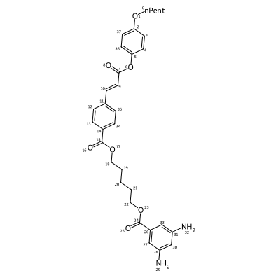 CCCCCOc1ccc(OC(=O)C=Cc2ccc(C(=O)OCCCCCOC(=O)c3cc(N)cc(N)c3)cc2)cc1